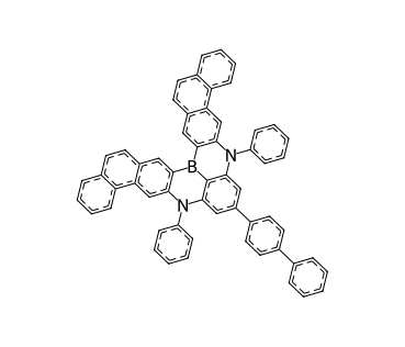 c1ccc(-c2ccc(-c3cc4c5c(c3)N(c3ccccc3)c3cc6c(ccc7ccccc76)cc3B5c3cc5ccc6ccccc6c5cc3N4c3ccccc3)cc2)cc1